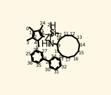 CC1=C(C)C(C)[C]([Zr]([NH]C2CCCCCCCCCC2)[SiH](C)C)=C1C.c1ccc(-c2ccccc2)cc1